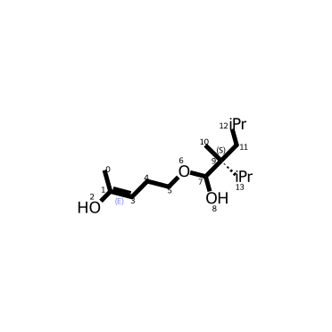 C/C(O)=C\CCOC(O)[C@@](C)(CC(C)C)C(C)C